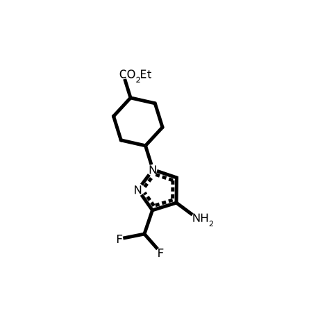 CCOC(=O)C1CCC(n2cc(N)c(C(F)F)n2)CC1